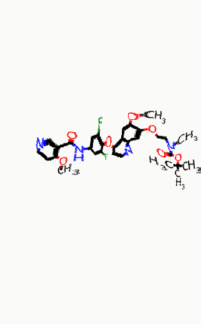 COc1cc2c(Oc3c(F)cc(NC(=O)c4cnccc4OC)cc3F)ccnc2cc1OCCN(C)C(=O)OC(C)(C)C